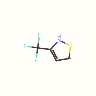 FC(F)(F)C1=C[CH]SN1